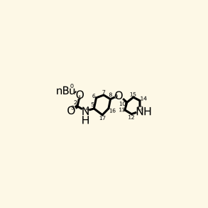 CCCCOC(=O)NC1CCC(OC2CCNCC2)CC1